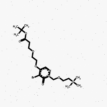 CC(C)(C)OC(=O)CCOCCOc1cnn(COCC[Si](C)(C)C)c(=O)c1Br